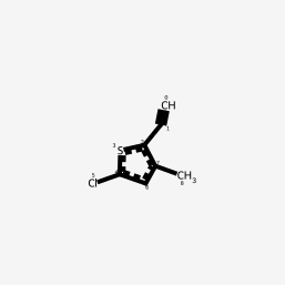 C#Cc1sc(Cl)cc1C